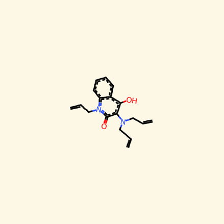 C=CCN(CC=C)c1c(O)c2ccccc2n(CC=C)c1=O